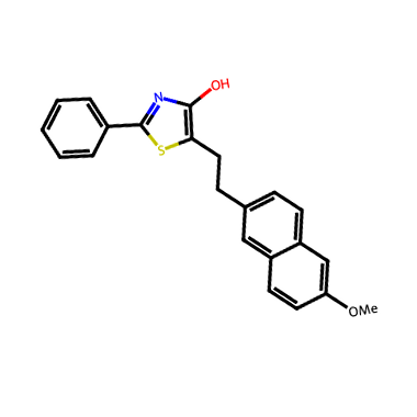 COc1ccc2cc(CCc3sc(-c4ccccc4)nc3O)ccc2c1